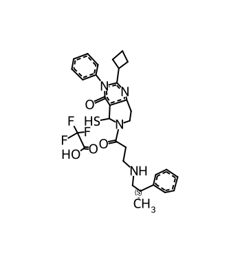 C[C@H](CNCCC(=O)N1CCc2nc(C3CCC3)n(-c3ccccc3)c(=O)c2C1S)c1ccccc1.O=C(O)C(F)(F)F